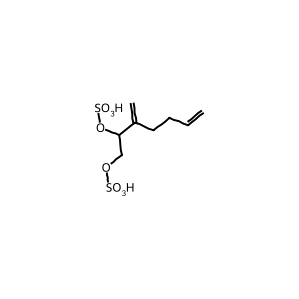 C=CCCC(=C)C(COS(=O)(=O)O)OS(=O)(=O)O